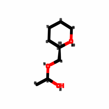 CC(O)OC[C@H]1CCCCO1